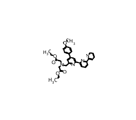 CCOC(=O)CN(CC(=O)OCC)Cc1cc(-c2ccc(OC)cc2)cc(-c2cccc(-c3ccccn3)n2)n1